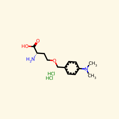 CN(C)c1ccc(COCC[C@H](N)C(=O)O)cc1.Cl.Cl